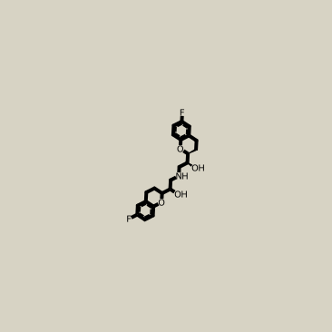 OC(CNC[C@H](O)[C@@H]1CCc2cc(F)ccc2O1)C1CCc2cc(F)ccc2O1